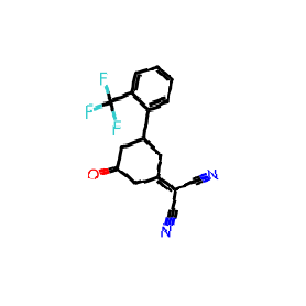 N#CC(C#N)=C1CC(=O)CC(c2ccccc2C(F)(F)F)C1